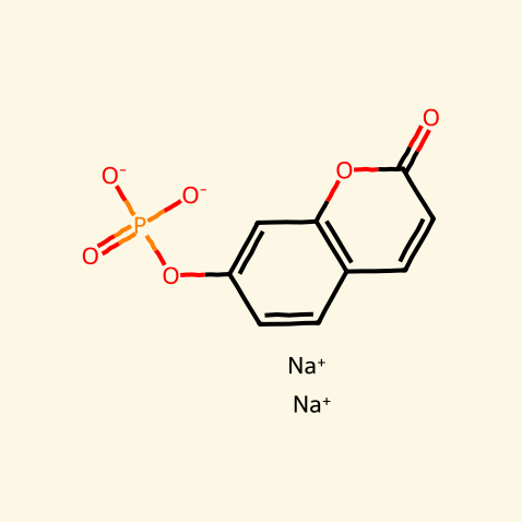 O=c1ccc2ccc(OP(=O)([O-])[O-])cc2o1.[Na+].[Na+]